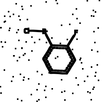 Fc1ccccc1[B]Cl